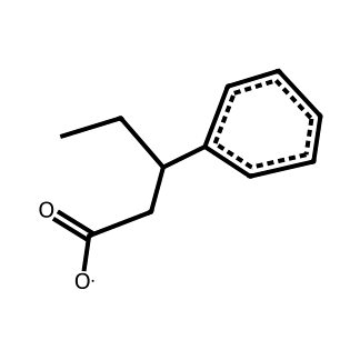 CCC(CC([O])=O)c1ccccc1